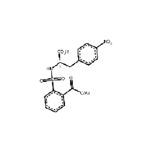 COC(=O)c1ccccc1S(=O)(=O)N[C@H](Cc1ccc([N+](=O)[O-])cc1)C(=O)O